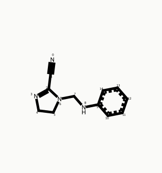 N#CC1=NCCN1CNc1ccccc1